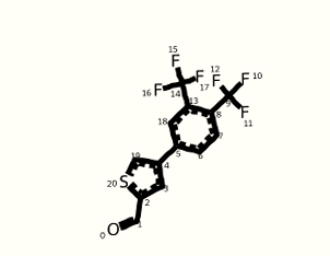 O=Cc1cc(-c2ccc(C(F)(F)F)c(C(F)(F)F)c2)cs1